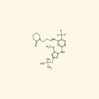 COc1nn(CC(C)(C)O)cc1Nc1ncc(C(F)(F)F)c(NCCCN2CCCCC2=O)n1